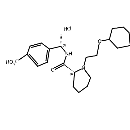 C[C@H](NC(=O)[C@H]1CCCCN1CCOC1CCCCC1)c1ccc(C(=O)O)cc1.Cl